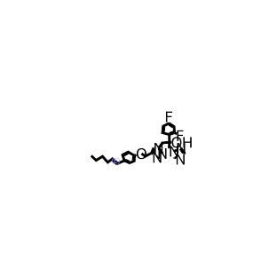 CCCC/C=C/c1ccc(OCc2cn(CC(O)(Cn3cncn3)c3ccc(F)cc3F)nn2)cc1